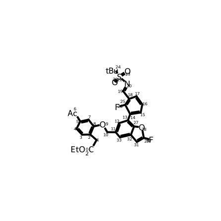 CCOC(=O)Cc1ccc(C(C)=O)cc1OCc1cc(-c2cccc(C=NS(=O)(=O)C(C)(C)C)c2F)c2oc(F)cc2c1